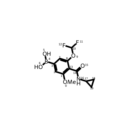 COc1cc(B(O)O)cc(OC(F)F)c1C(=O)NC1CC1